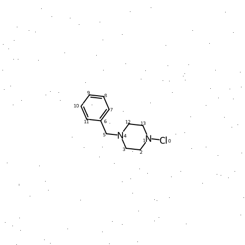 ClN1CCN(Cc2ccccc2)CC1